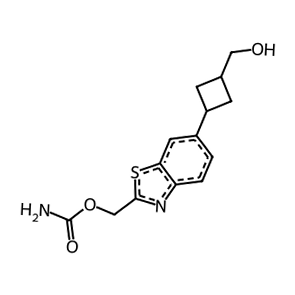 NC(=O)OCc1nc2ccc(C3CC(CO)C3)cc2s1